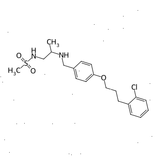 CC(CNS(C)(=O)=O)NCc1ccc(OCCCc2ccccc2Cl)cc1